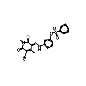 CC1=C(C#N)C(=O)N(C)C(=O)/C1=N/Nc1cccc(OS(=O)(=O)c2ccccc2)c1